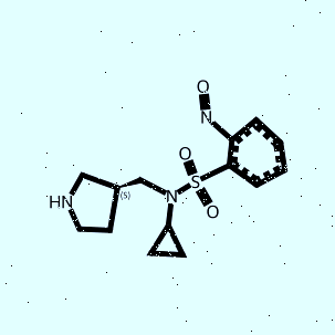 O=Nc1ccccc1S(=O)(=O)N(C[C@H]1CCNC1)C1CC1